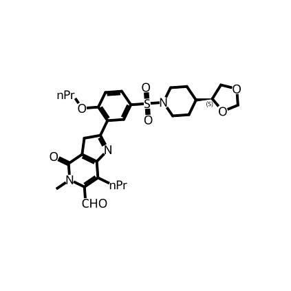 CCCOc1ccc(S(=O)(=O)N2CCC([C@H]3COCO3)CC2)cc1C1=Nc2c(CCC)c(C=O)n(C)c(=O)c2C1